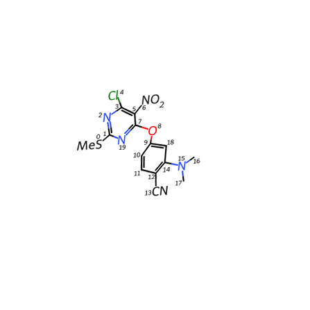 CSc1nc(Cl)c([N+](=O)[O-])c(Oc2ccc(C#N)c(N(C)C)c2)n1